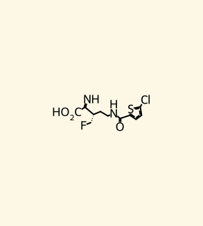 N=C(C(=O)O)[C@@H](CF)CCNC(=O)c1ccc(Cl)s1